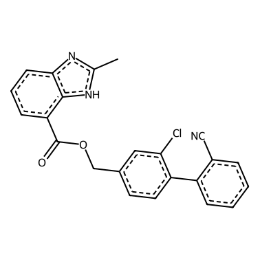 Cc1nc2cccc(C(=O)OCc3ccc(-c4ccccc4C#N)c(Cl)c3)c2[nH]1